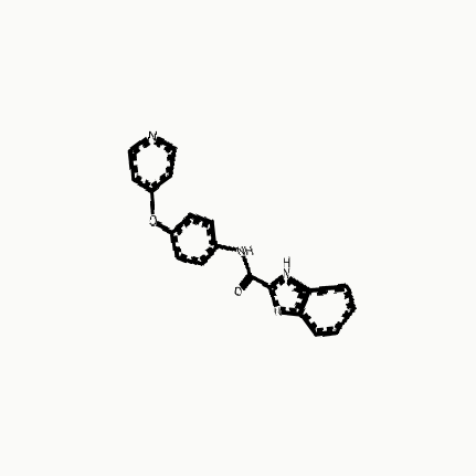 O=C(Nc1ccc(Oc2ccncc2)cc1)c1nc2ccccc2[nH]1